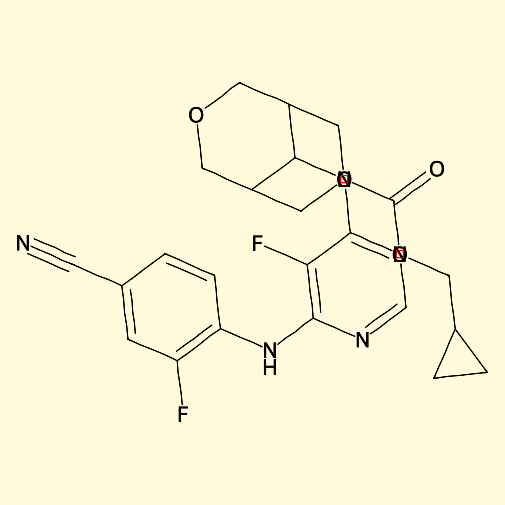 N#Cc1ccc(Nc2ncnc(OC3C4COCC3CN(C(=O)OCC3CC3)C4)c2F)c(F)c1